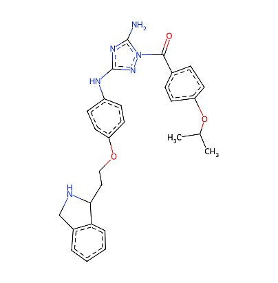 CC(C)Oc1ccc(C(=O)n2nc(Nc3ccc(OCCC4NCc5ccccc54)cc3)nc2N)cc1